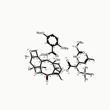 COc1ccc(OC)c(C(=O)O[C@H]2[C@@H]3[C@]4(OC(C)=O)CO[C@@H]4C[C@H]4O[C@@H](C(=O)C5=C(C)[C@@H](OC(=O)[C@H](O[Si](C(C)C)(C(C)C)C(C)C)[C@H](C=C(C)C)NC(=O)OC(C)(C)C)C[C@]2(O)C5(C)C)[C@@]34C)c1